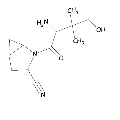 CC(C)(CO)C(N)C(=O)N1C(C#N)CC2CC21